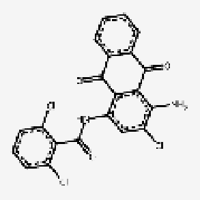 Nc1c(Cl)cc(NC(=O)c2c(Cl)cccc2Cl)c2c1C(=O)c1ccccc1C2=O